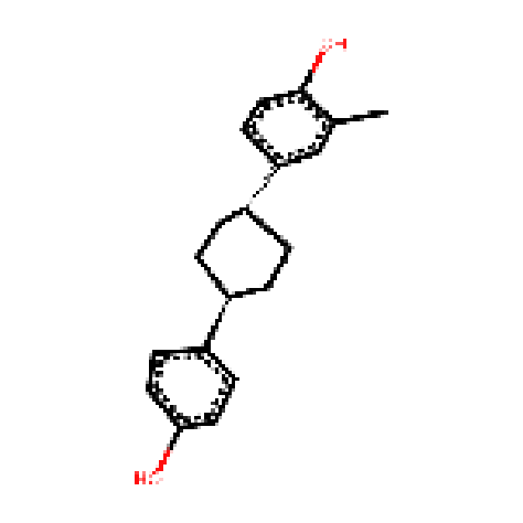 Cc1cc([C@H]2CC[C@H](c3ccc(O)cc3)CC2)ccc1O